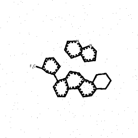 FC(F)(F)c1cccc(-c2cccc3c2ccc2c4c(ccc23)CCCC4)c1.c1cnc2ncccc2c1